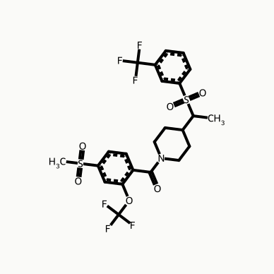 CC(C1CCN(C(=O)c2ccc(S(C)(=O)=O)cc2OC(F)(F)F)CC1)S(=O)(=O)c1cccc(C(F)(F)F)c1